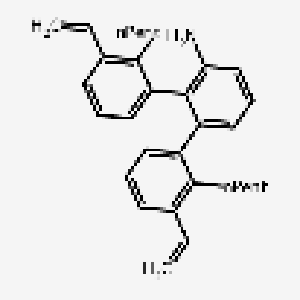 C=Cc1cccc(-c2cccc(N)c2-c2cccc(C=C)c2CCCCC)c1CCCCC